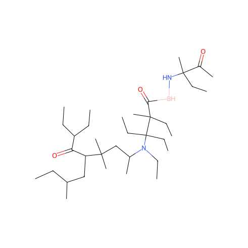 CCC(C)CC(C(=O)C(CC)CC)C(C)(C)CC(C)N(CC)C(CC)(CC)C(C)(CC)C(=O)BNC(C)(CC)C(C)=O